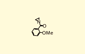 COc1ccccc1C(=O)N1CC1